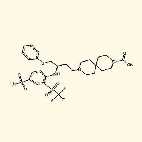 NS(=O)(=O)c1ccc(NC(CCN2CCC3(CC2)CCN(C(=O)O)CC3)CSc2ccccc2)c(S(=O)(=O)C(F)(F)F)c1